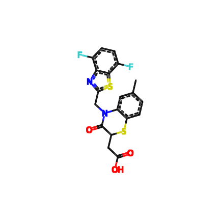 Cc1ccc2c(c1)N(Cc1nc3c(F)ccc(F)c3s1)C(=O)C(CC(=O)O)S2